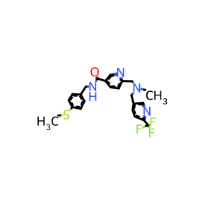 CCSc1ccc(CNC(=O)c2ccc(CN(CC)Cc3ccc(C(F)(F)F)nc3)nc2)cc1